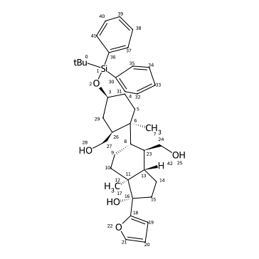 CC(C)(C)[Si](O[C@H]1CC[C@@](C)([C@H]2CC[C@@]3(C)[C@@H](CC[C@@]3(O)c3ccco3)[C@@H]2CO)[C@@H](CO)C1)(c1ccccc1)c1ccccc1